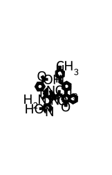 CC(c1oc(=O)c2ccccc2c1-c1cccc(CN2CCN(C)CC2)c1)n1nc(-c2cncc(O)c2)c2c(N)ncnc21.O=C(O)c1ccccc1